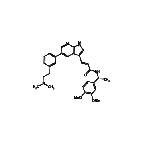 COc1ccc([C@@H](C)NC(=O)/C=C/c2c[nH]c3ncc(-c4cccc(CCN(C)C)c4)cc23)cc1OC